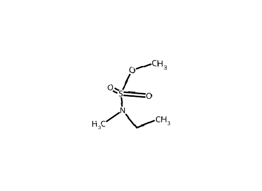 CCN(C)S(=O)(=O)OC